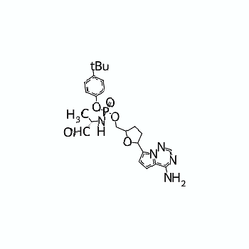 C[C@@H](C=O)NP(=O)(OCC1CCC(c2ccc3c(N)ncnn23)O1)Oc1ccc(C(C)(C)C)cc1